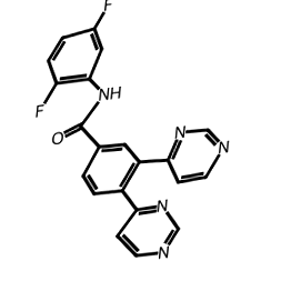 O=C(Nc1cc(F)ccc1F)c1ccc(-c2ccncn2)c(-c2ccncn2)c1